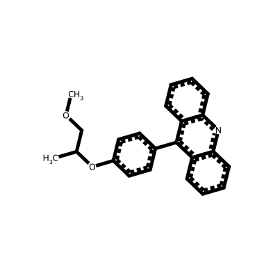 COCC(C)Oc1ccc(-c2c3ccccc3nc3ccccc23)cc1